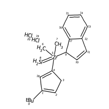 CC(C)(C)C1=CC[C]([Zr]([CH3])([CH3])(=[SiH2])[CH]2C=Cc3ccccc32)=C1.Cl.Cl